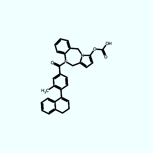 Cc1cc(C(=O)N2Cc3ccc(OC(=O)O)n3Cc3ccccc32)ccc1C1=CCCc2ccccc21